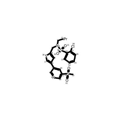 CC(C)CN(Cc1cc(-c2cncc(S(C)(=O)=O)c2)cs1)S(=O)(=O)c1ccccc1Cl